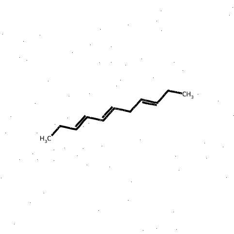 CCC=CC=CCC=CCC